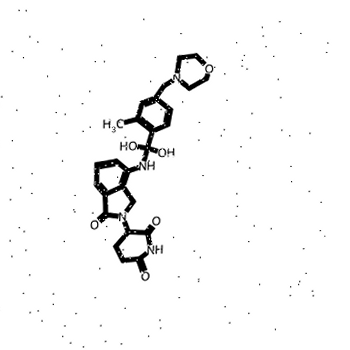 Cc1cc(CN2CCOCC2)ccc1C(O)(O)Nc1cccc2c1CN(C1CCC(=O)NC1=O)C2=O